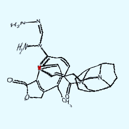 Cc1c(CCN2C3CCC2C2CCC3N2C(=O)c2ccc(N(N)/C=N\N)nc2)ccc2c1COC2=O